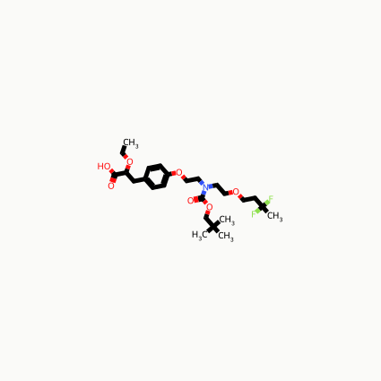 CCOC(Cc1ccc(OCCN(CCOCCC(C)(F)F)C(=O)OCC(C)(C)C)cc1)C(=O)O